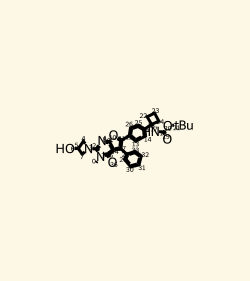 Cn1c(N2CC(O)C2)nc2oc(-c3ccc(C4(NC(=O)OC(C)(C)C)CCC4)cc3)c(-c3ccccc3)c2c1=O